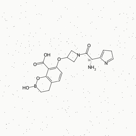 N[C@H](C(=O)N1CC(Oc2ccc3c(c2C(=O)O)OB(O)CC3)C1)C1=CCC=N1